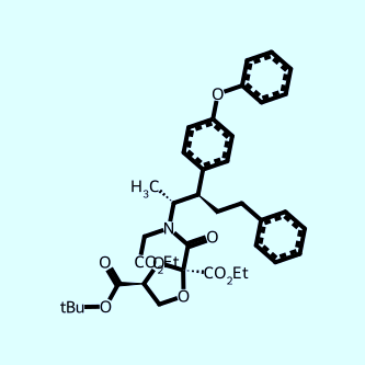 CCOC(=O)CN(C(=O)[C@@]1(C(=O)OCC)OC[C@@H](C(=O)OC(C)(C)C)O1)[C@H](C)[C@H](CCc1ccccc1)c1ccc(Oc2ccccc2)cc1